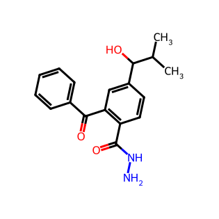 CC(C)C(O)c1ccc(C(=O)NN)c(C(=O)c2ccccc2)c1